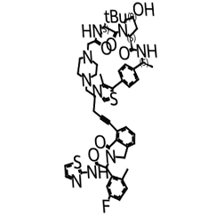 Cc1ccc(F)cc1C(C(=O)Nc1nccs1)N1Cc2cccc(C#CCCCN3CCN(CC(=O)N[C@H](C(=O)N4C[C@H](O)C[C@H]4C(=O)N[C@@H](C)c4ccc(-c5scnc5C)cc4)C(C)(C)C)CC3)c2C1=O